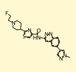 Cn1cc(-c2ccc3nnc(NC(=O)c4csc(C5CCN(CCF)CC5)n4)cc3c2)cn1